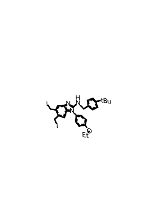 CCOc1ccc(-n2c(NCc3ccc(C(C)(C)C)cc3)nc3cc(CI)c(CI)cc32)cc1